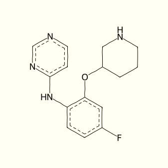 Fc1ccc(Nc2ccncn2)c(OC2CCCNC2)c1